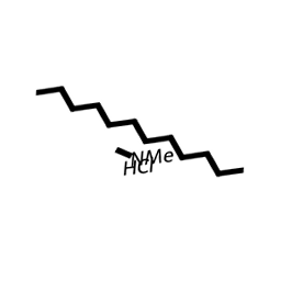 CCCCCCCCCCCC.CNC.Cl